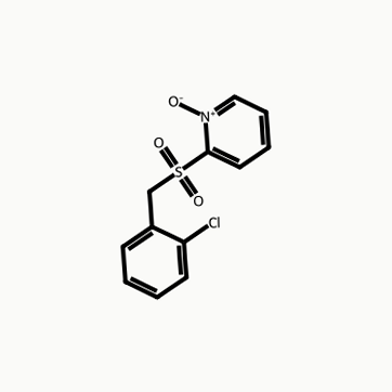 O=S(=O)(Cc1ccccc1Cl)c1cccc[n+]1[O-]